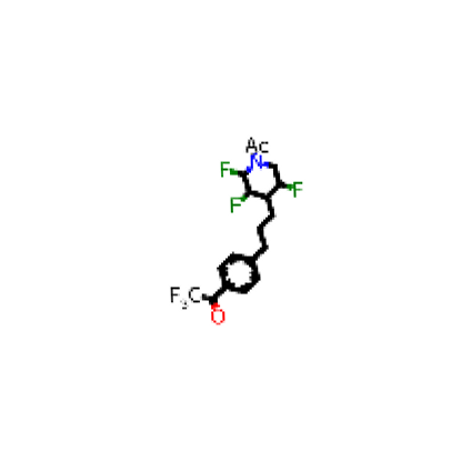 CC(=O)N1CC(F)C(CCCc2ccc(C(=O)C(F)(F)F)cc2)C(F)C1F